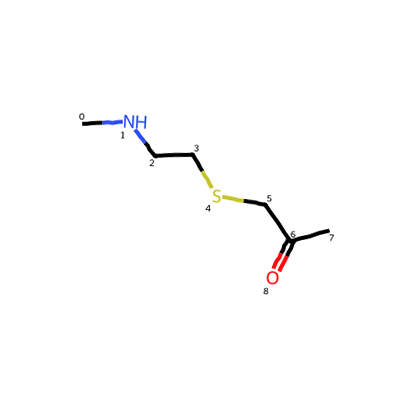 CNCCSCC(C)=O